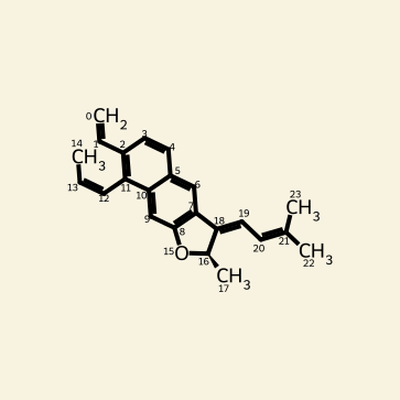 C=Cc1ccc2cc3c(cc2c1/C=C\C)O[C@H](C)/C3=C\C=C(C)C